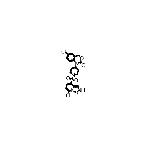 O=C1OCc2cc(Cl)ccc2N1C1CCN(S(=O)(=O)C2=CC=C(Cl)N3ONC=C23)CC1